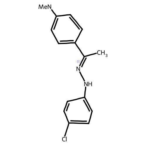 CNc1ccc(/C(C)=N/Nc2ccc(Cl)cc2)cc1